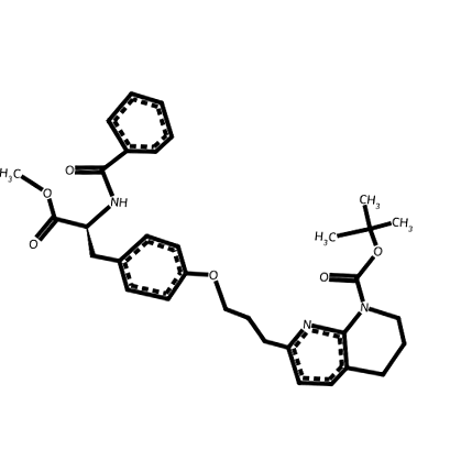 COC(=O)[C@H](Cc1ccc(OCCCc2ccc3c(n2)N(C(=O)OC(C)(C)C)CCC3)cc1)NC(=O)c1ccccc1